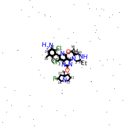 CC[C@@H]1CN2c3nc(OC[C@@]45CCCN4C[C@H](F)C5)nc4c(Cl)c(-c5c(Cl)c(N)cc(C)c5C(F)(F)F)nc(c34)O[C@@H](C)[C@@H]2CN1